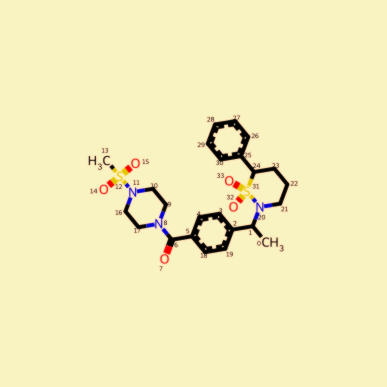 CC(c1ccc(C(=O)N2CCN(S(C)(=O)=O)CC2)cc1)N1CCCC(c2ccccc2)S1(=O)=O